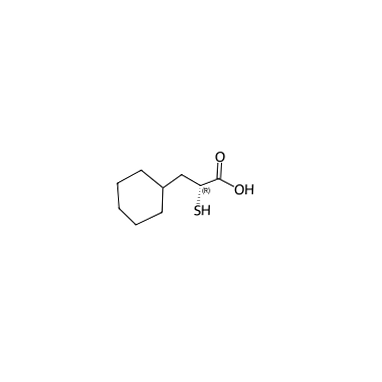 O=C(O)[C@H](S)CC1CCCCC1